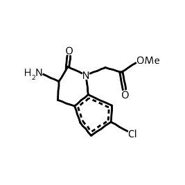 COC(=O)CN1C(=O)C(N)Cc2ccc(Cl)cc21